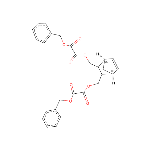 O=C(OCc1ccccc1)C(=O)OCC1C(COC(=O)C(=O)OCc2ccccc2)[C@H]2C=C[C@@H]1C2